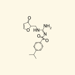 CC(C)c1ccc(S(=O)(=O)N=C(N)NCC2OC=CC2=O)cc1